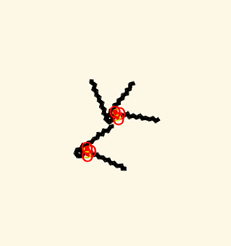 CCCCCCCCCCCCOS(=O)(=O)c1cccc(CCCCCCCCCCCC)c1CCCCCCCCCCCC.CCCCCCCCCCCCOS(=O)(=O)c1ccccc1CCCCCCCCCCCC